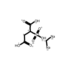 O=C(O)CC(C(=O)O)S(=O)(=O)O.[Na][CH2][Na]